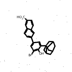 O=C(O)c1ccc2cc(-c3cc(Br)c(O)c(C45CC6CC(CC(C6)C4)C5)c3)ccc2c1